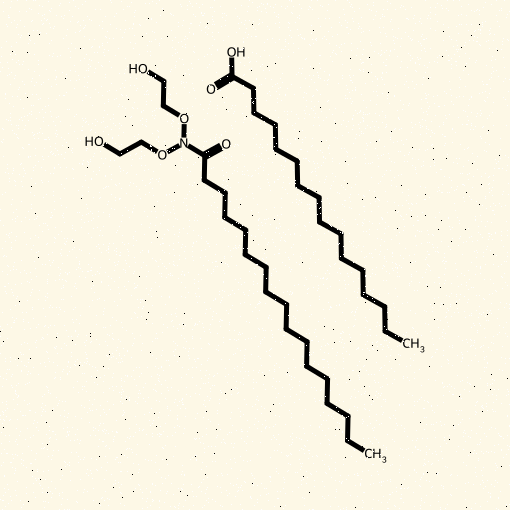 CCCCCCCCCCCCCCCC(=O)O.CCCCCCCCCCCCCCCCC(=O)N(OCCO)OCCO